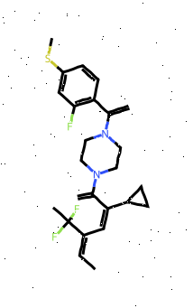 C=C(/C(=C\C(=C/C)C(C)(F)F)C1CC1)N1CCN(C(=C)c2ccc(SC)cc2F)CC1